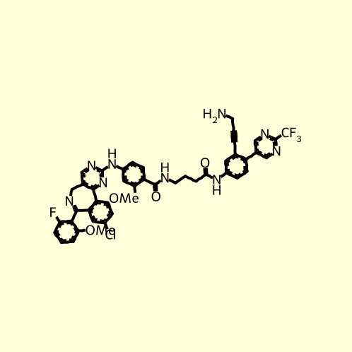 COc1cc(Nc2ncc3c(n2)-c2ccc(Cl)cc2C(c2c(F)cccc2OC)=NC3)ccc1C(=O)NCCCC(=O)Nc1ccc(-c2cnc(C(F)(F)F)nc2)c(C#CCN)c1